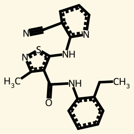 CCc1ccccc1NC(=O)c1c(C)nsc1Nc1ncccc1C#N